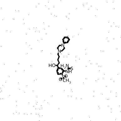 CS(=O)(=O)c1ccc(C(O)CCCCN2CCN(c3ccccc3)CC2)cc1NC(N)=S